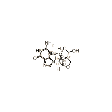 CCCCO[C@H]1[C@H]2OC[C@]1(C(C)O)O[C@H]2n1cnc2c(=O)[nH]c(N)cc21